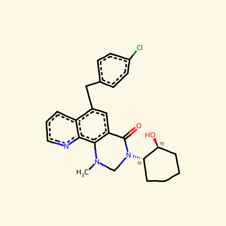 CN1CN([C@H]2CCCC[C@@H]2O)C(=O)c2cc(Cc3ccc(Cl)cc3)c3cccnc3c21